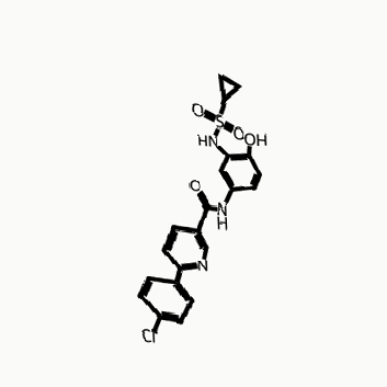 O=C(Nc1ccc(O)c(NS(=O)(=O)C2CC2)c1)c1ccc(-c2ccc(Cl)cc2)nc1